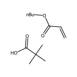 C=CC(=O)OCCCC.CC(C)(C)C(=O)O